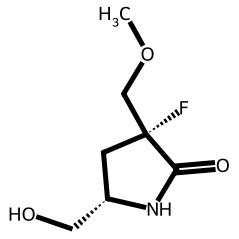 COC[C@]1(F)C[C@@H](CO)NC1=O